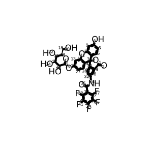 O=C1OC2(c3ccc(O)cc3Oc3cc(O[C@@H]4O[C@H](CO)[C@@H](O)[C@H](O)[C@H]4O)ccc32)c2ccc(NC(=O)c3c(F)c(F)c(F)c(F)c3F)cc21